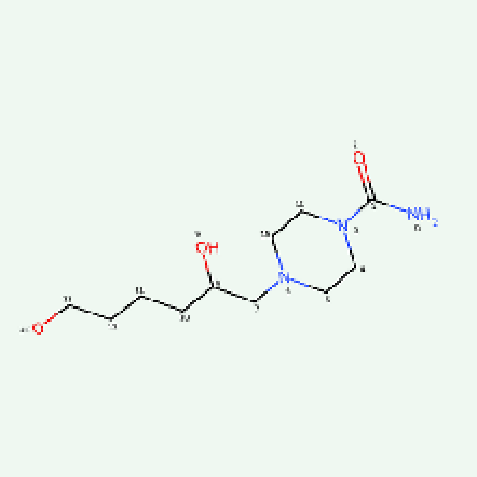 NC(=O)N1CCN(CC(O)CCCC[O])CC1